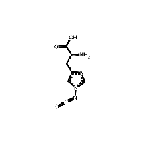 N[C@@H](Cc1cn(N=C=O)cn1)C(=O)O